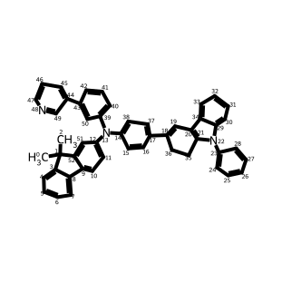 CC1(C)c2ccccc2-c2ccc(N(c3ccc(C4=Cc5c(n(-c6ccccc6)c6ccccc56)CC4)cc3)c3cccc(-c4cccnc4)c3)cc21